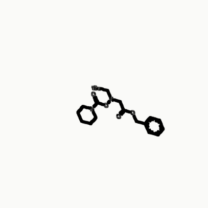 CC(C)(C)CN(CC(=O)OCc1ccccc1)OC(=O)N1CCCCC1